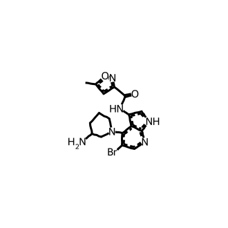 Cc1cc(C(=O)Nc2c[nH]c3ncc(Br)c(N4CCCC(N)C4)c23)no1